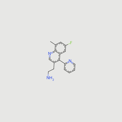 Cc1cc(F)cc2c(-c3ccccn3)c(CCN)cnc12